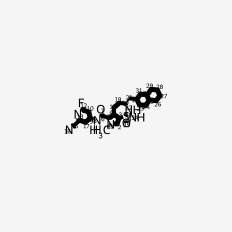 Cn1cc2c(c1C(=O)Nc1cc(F)nc(C#N)c1)C=C[C@@H](Cc1ccc3ccccc3c1)NS2(=N)=O